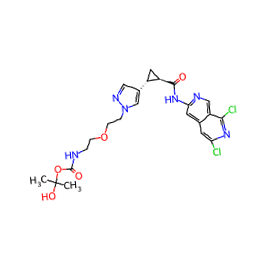 CC(C)(O)OC(=O)NCCOCCn1cc([C@@H]2C[C@H]2C(=O)Nc2cc3cc(Cl)nc(Cl)c3cn2)cn1